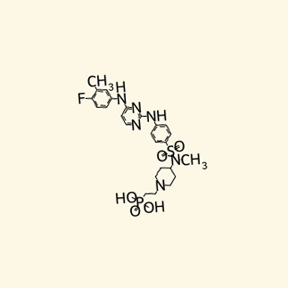 Cc1cc(Nc2ccnc(Nc3ccc(S(=O)(=O)N(C)C4CCN(CCP(=O)(O)O)CC4)cc3)n2)ccc1F